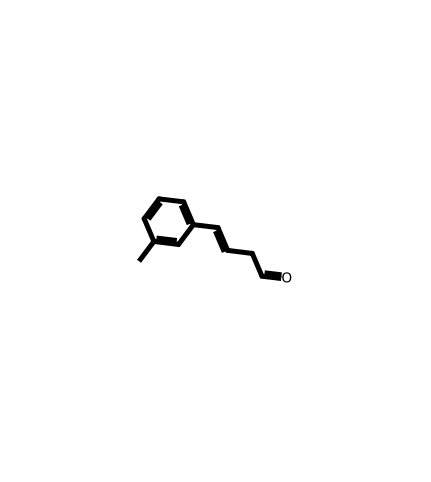 Cc1cccc(C=CCC=O)c1